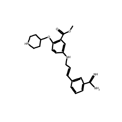 COC(=O)c1cc(NCC=Cc2cccc(C(=N)N)c2)ccc1OC1CCNCC1